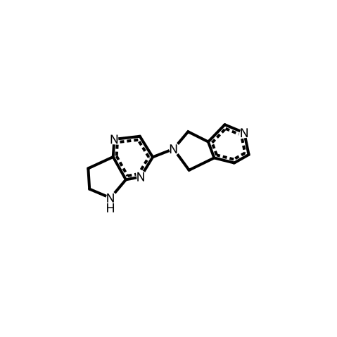 c1cc2c(cn1)CN(c1cnc3c(n1)NCC3)C2